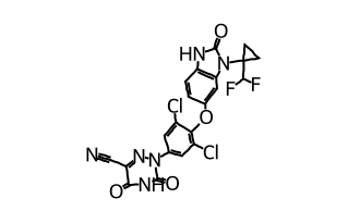 N#Cc1nn(-c2cc(Cl)c(Oc3ccc4[nH]c(=O)n(C5(C(F)F)CC5)c4c3)c(Cl)c2)c(=O)[nH]c1=O